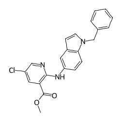 COC(=O)c1cc(Cl)cnc1Nc1ccc2c(ccn2Cc2ccccc2)c1